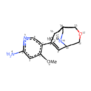 COc1cc(N)ncc1C1=CC2COCC(C1)N2C(=O)O